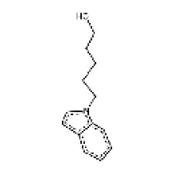 OCCCCCn1ccc2ccccc21